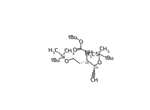 C#C[C@H](O[Si](C)(C)C(C)(C)C)[C@H](CCO[Si](C)(C)C(C)(C)C)NC(=O)OC(C)(C)C